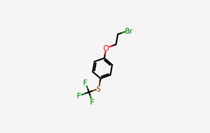 FC(F)(F)Sc1ccc(OCCBr)cc1